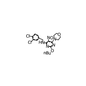 CCCCOc1nc(NCc2ccc(Cl)c(Cl)c2)c(N=O)c(N2CCOCC2)n1